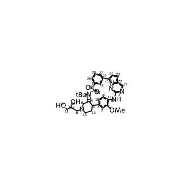 COc1cc(C2CCN(C[C@H](O)CO)CC2)ccc1Nc1ncc2ccc(-c3cccc(S(=O)(=O)NC(C)(C)C)c3)n2n1